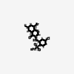 CCCS(=O)(=O)c1ccc(Cl)cc1Nn1cnc2c(Br)cc(C)cc2c1=O